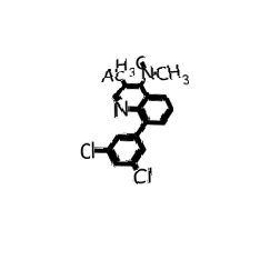 CC(=O)c1cnc2c(-c3cc(Cl)cc(Cl)c3)cccc2c1N(C)C